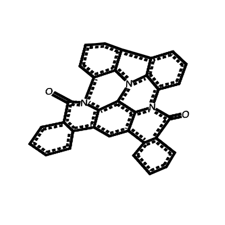 O=c1c2ccccc2c2cc3c4ccccc4c(=O)n4c5cccc6c7cccc8c7n(c65)c(c2n18)c34